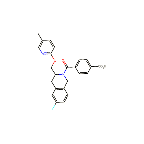 Cc1ccc(OCC2Cc3cc(F)ccc3CN2C(=O)c2ccc(C(=O)O)cc2)nc1